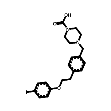 O=C(O)N1CCN(Cc2ccc(CCOc3ccc(I)cc3)cc2)CC1